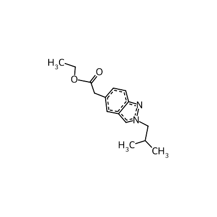 CCOC(=O)Cc1ccc2nn(CC(C)C)cc2c1